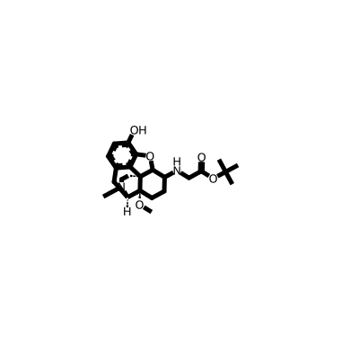 CO[C@@]12CCC(NCC(=O)OC(C)(C)C)C3Oc4c(O)ccc5c4[C@@]31CCN(C)[C@@H]2C5